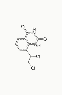 O=c1[nH]c(=O)c2cccc(C(Cl)CCl)c2[nH]1